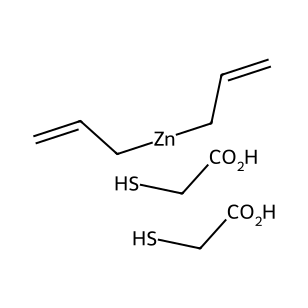 C=C[CH2][Zn][CH2]C=C.O=C(O)CS.O=C(O)CS